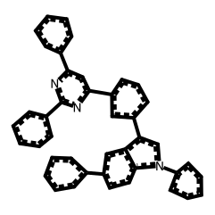 c1ccc(-c2ccc3c(c2)c(-c2cccc(-c4cc(-c5ccccc5)nc(-c5ccccc5)n4)c2)cn3-c2ccccc2)cc1